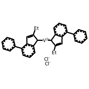 CCC1=Cc2c(-c3ccccc3)cccc2[CH]1[V+2][CH]1C(CC)=Cc2c(-c3ccccc3)cccc21.[Cl-].[Cl-]